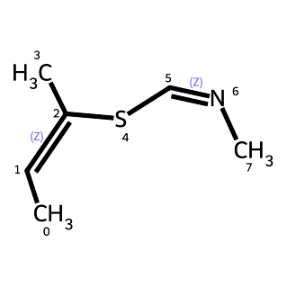 C/C=C(/C)S/C=N\C